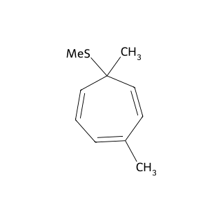 CSC1(C)C=CC=C(C)C=C1